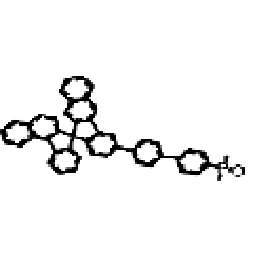 CP(C)(=O)c1ccc(-c2ccc(-c3ccc4c(c3)-c3cc5ccccc5cc3C43c4ccccc4-c4c3ccc3ccccc43)cc2)cc1